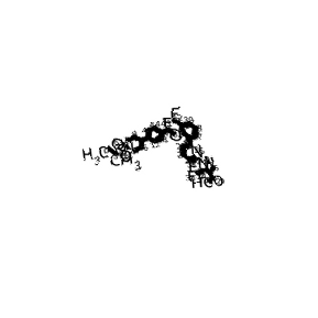 CCC(C)S(=O)(=O)N1CCC(c2ccc(COc3c(-c4cccc(-n5ncc(C(=O)O)c5C(F)(F)F)n4)cccc3C(F)F)cc2)CC1